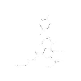 COCCNC(=O)c1cc(C(=O)OC)c(OC)c2ncc(Cc3ccc(F)cc3)cc12